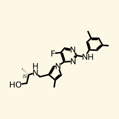 Cc1cc(C)cc(Nc2ncc(F)c(-n3cc(C)c(CN[C@@H](C)CO)c3)n2)c1